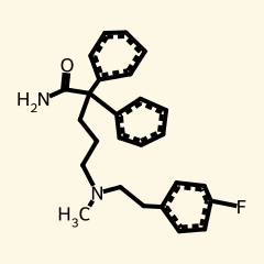 CN(CCCC(C(N)=O)(c1ccccc1)c1ccccc1)CCc1ccc(F)cc1